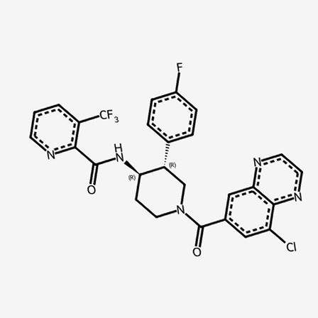 O=C(N[C@@H]1CCN(C(=O)c2cc(Cl)c3nccnc3c2)C[C@H]1c1ccc(F)cc1)c1ncccc1C(F)(F)F